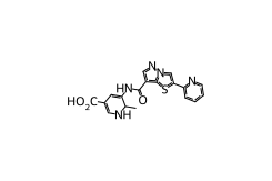 CC1NC=C(C(=O)O)C=C1NC(=O)c1cnn2cc(-c3ccccn3)sc12